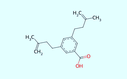 C=C(C)CCc1cc(CCC(=C)C)cc(C(=O)O)c1